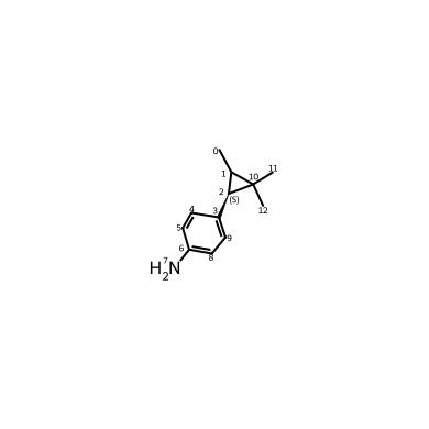 CC1[C@H](c2ccc(N)cc2)C1(C)C